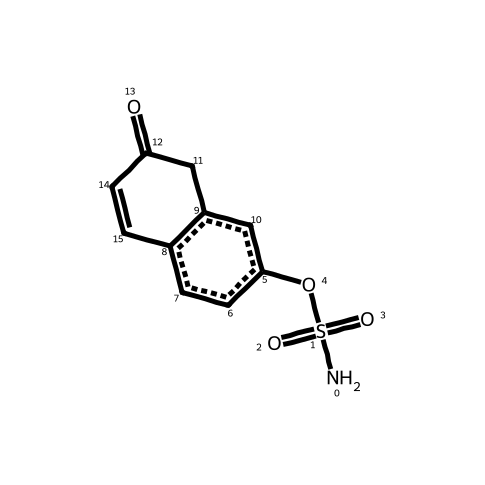 NS(=O)(=O)Oc1ccc2c(c1)CC(=O)C=C2